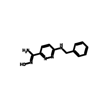 N/C(=N\O)c1ccc(NCc2ccccc2)nn1